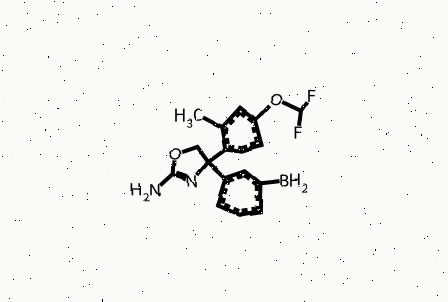 Bc1cccc(C2(c3ccc(OC(F)F)cc3C)COC(N)=N2)c1